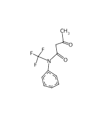 CC(=O)CC(=O)N(c1ccccc1)C(F)(F)F